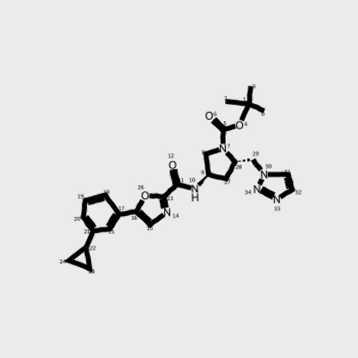 CC(C)(C)OC(=O)N1C[C@H](NC(=O)c2ncc(-c3cccc(C4CC4)c3)o2)C[C@H]1Cn1ccnn1